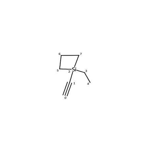 C#C[Si]1(CC)CCC1